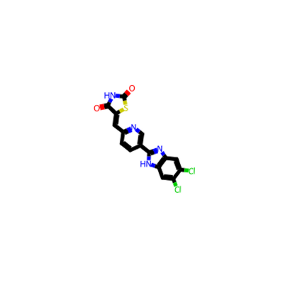 O=C1NC(=O)C(=Cc2ccc(-c3nc4cc(Cl)c(Cl)cc4[nH]3)cn2)S1